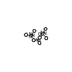 c1ccc(-c2nc(-c3ccccc3)nc(-c3cccc(-n4c5ccccc5c5cc6c(cc54)oc4nc(-c5ccccc5)nc(-c5ccccc5)c46)c3)n2)cc1